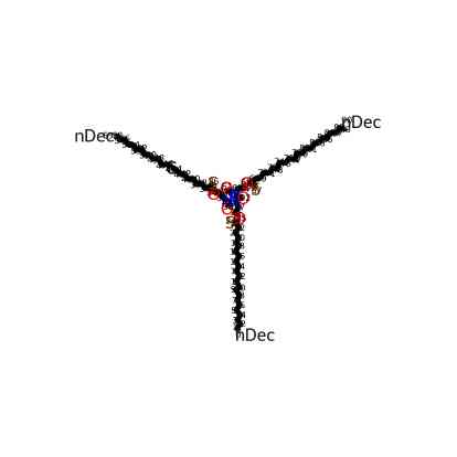 CCCCCCCCCCCCCCCCCCCCCCCCCCCCCCCCC(=S)OCCn1c(=O)n(CCOC(=S)CCCCCCCCCCCCCCCCCCCCCCCCCCCCCCCC)c(=O)n(CCOC(=S)CCCCCCCCCCCCCCCCCCCCCCCCCCCCCCCC)c1=O